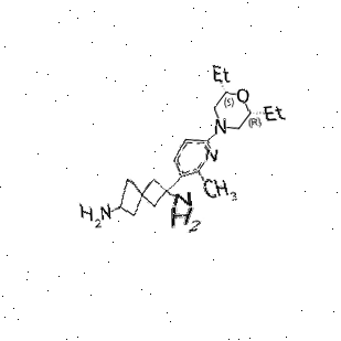 CC[C@@H]1CN(c2ccc(C3(N)CC4(CC(N)C4)C3)c(C)n2)C[C@H](CC)O1